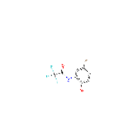 O=C(Nc1cc(Br)ccc1O)C(F)(F)F